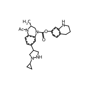 CC(=O)N1c2ccc(C3CNN(C4CC4)C3)cc2N(C(=O)Oc2ccc3c(c2)NCCC3)C[C@@H]1C